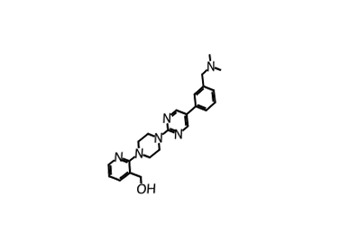 CN(C)Cc1cccc(-c2cnc(N3CCN(c4ncccc4CO)CC3)nc2)c1